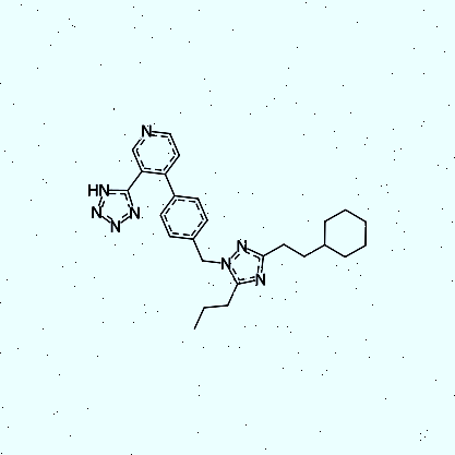 CCCc1nc(CCC2CCCCC2)nn1Cc1ccc(-c2ccncc2-c2nnn[nH]2)cc1